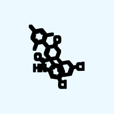 Cc1cc(C)c(C2=C[C@@]3(C(=O)Nc4cc(Cl)ccc43)[C@H](C3C=CC=C(Cl)C3)CC2=O)c(C)c1